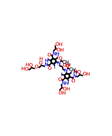 CC(=O)N(CC(O)CN(C(C)=O)c1c(I)c(C(=O)NCC(O)CO)c(I)c(C(=O)NCC(O)COCC(O)CO)c1I)c1c(I)c(C(=O)NCC(O)CO)c(I)c(C(=O)NCC(O)CO)c1I